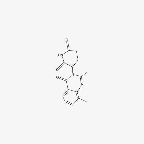 Cc1cccc2c(=O)n(C3CCC(=O)NC3=O)c(C)nc12